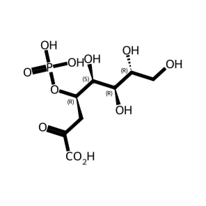 O=C(O)C(=O)C[C@@H](OP(=O)(O)O)[C@@H](O)[C@H](O)[C@H](O)CO